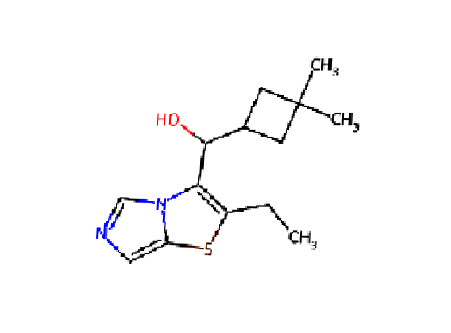 CCc1sc2cncn2c1C(O)C1CC(C)(C)C1